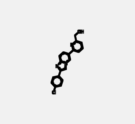 OCc1cccc(-c2ccc3nc(-c4ccc(Cl)cc4)cn3c2)n1